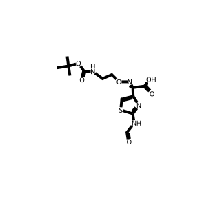 CC(C)(C)OC(=O)NCCO/N=C(/C(=O)O)c1csc(NC=O)n1